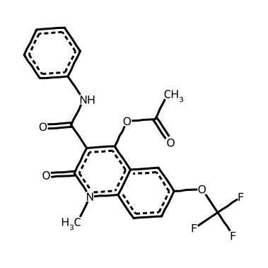 CC(=O)Oc1c(C(=O)Nc2ccccc2)c(=O)n(C)c2ccc(OC(F)(F)F)cc12